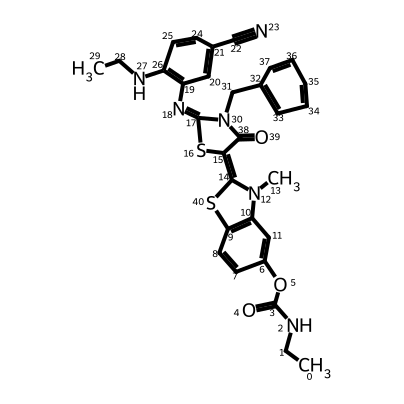 CCNC(=O)Oc1ccc2c(c1)N(C)C(=C1SC(=Nc3cc(C#N)ccc3NCC)N(Cc3ccccc3)C1=O)S2